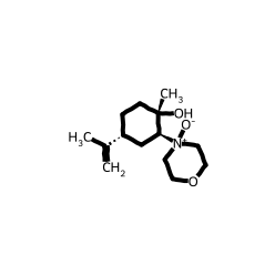 C=C(C)[C@@H]1CC[C@](C)(O)[C@@H]([N+]2([O-])CCOCC2)C1